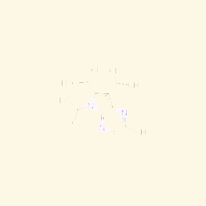 Cc1cnc2c(n1)c(C(C)C)c(C(C)C)n2C(C)C